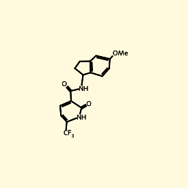 COc1ccc2c(c1)CCC2NC(=O)c1ccc(C(F)(F)F)[nH]c1=O